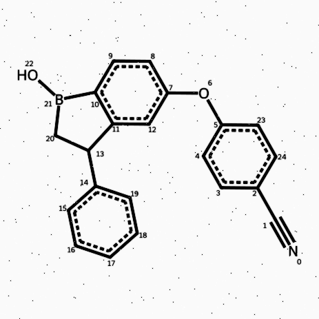 N#Cc1ccc(Oc2ccc3c(c2)C(c2ccccc2)CB3O)cc1